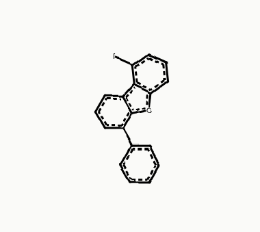 Ic1cccc2oc3c(-c4ccccc4)cccc3c12